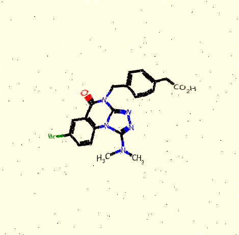 CN(C)c1nnc2n(Cc3ccc(CC(=O)O)cc3)c(=O)c3cc(Br)ccc3n12